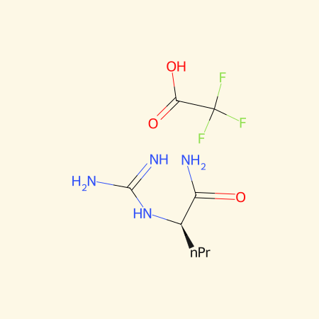 CCC[C@@H](NC(=N)N)C(N)=O.O=C(O)C(F)(F)F